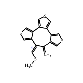 C=C1/C(=C\SC)c2cscc2-c2cscc2-c2cscc21